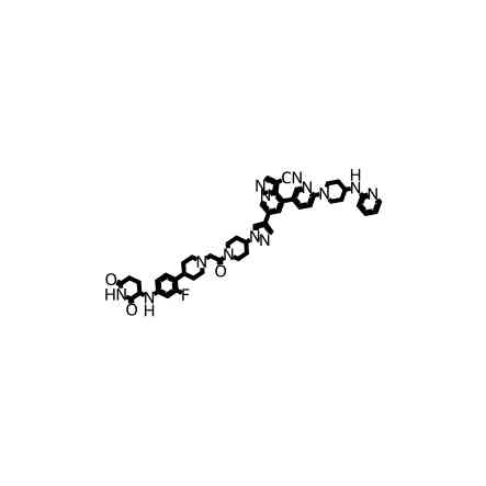 N#Cc1cnn2cc(-c3cnn(C4CCN(C(=O)CN5CCC(c6ccc(NC7CCC(=O)NC7=O)cc6F)CC5)CC4)c3)cc(-c3ccc(N4CCC(Nc5ccccn5)CC4)nc3)c12